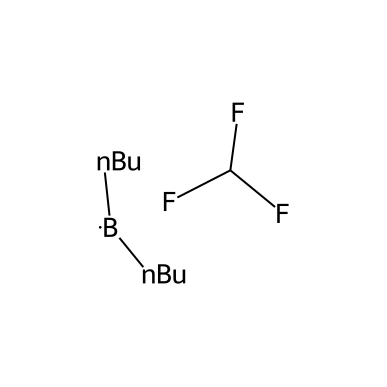 CCCC[B]CCCC.FC(F)F